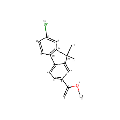 C=C(OCC)c1ccc2c(c1)C(C)(C)c1cc(Br)ccc1-2